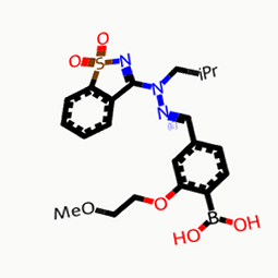 COCCOc1cc(/C=N/N(CC(C)C)C2=NS(=O)(=O)c3ccccc32)ccc1B(O)O